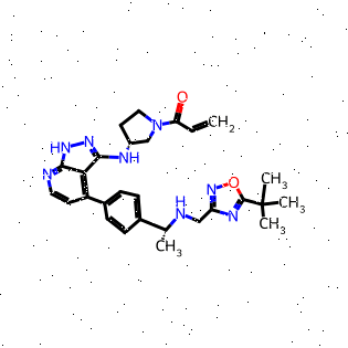 C=CC(=O)N1CC[C@@H](Nc2n[nH]c3nccc(-c4ccc([C@@H](C)NCc5noc(C(C)(C)C)n5)cc4)c23)C1